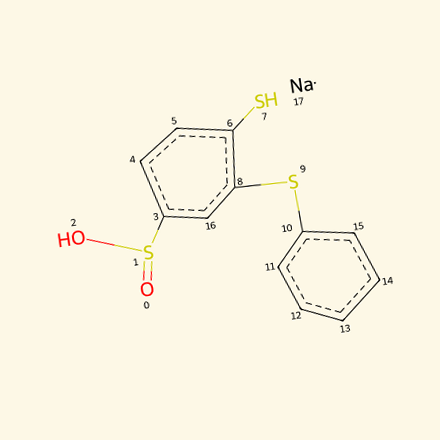 O=S(O)c1ccc(S)c(Sc2ccccc2)c1.[Na]